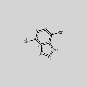 O=Nc1ccc(Cl)c2nonc12